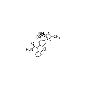 NC(=O)C(c1ccc(-n2cnc(C(F)(F)F)n2)c(S(N)(=O)=O)c1)c1ccccc1Cl